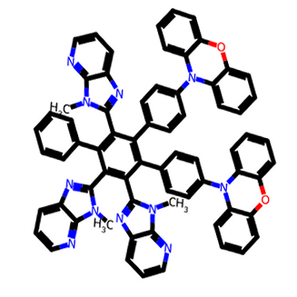 Cn1c(-c2c(-c3ccc(N4c5ccccc5Oc5ccccc54)cc3)c(-c3ccc(N4c5ccccc5Oc5ccccc54)cc3)c(-c3nc4cccnc4n3C)c(-c3nc4cccnc4n3C)c2-c2ccccc2)nc2cccnc21